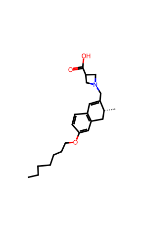 CCCCCCCOc1ccc2c(c1)C[C@@H](C)C(CN1CC(C(=O)O)C1)=C2